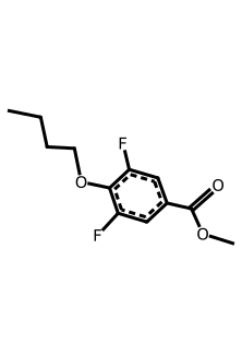 CCCCOc1c(F)cc(C(=O)OC)cc1F